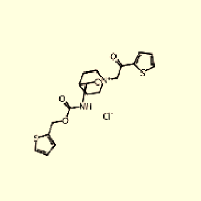 O=C(NC1C[N+]2(CC(=O)c3cccs3)CCC1CC2)OCc1cccs1.[Cl-]